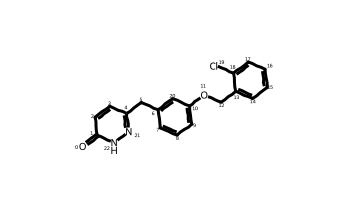 O=c1ccc(Cc2cccc(OCc3ccccc3Cl)c2)n[nH]1